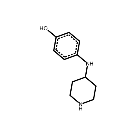 Oc1ccc(NC2CCNCC2)cc1